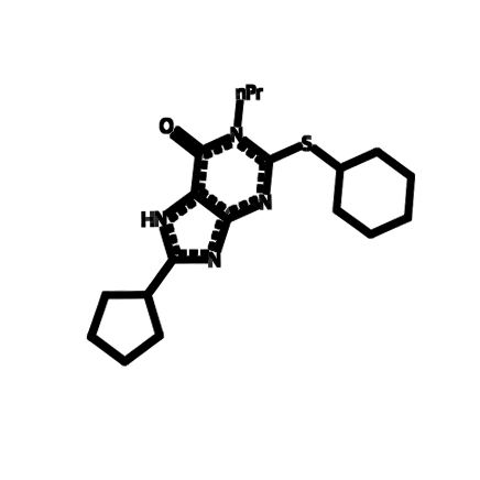 CCCn1c(SC2CCCCC2)nc2nc(C3CCCC3)[nH]c2c1=O